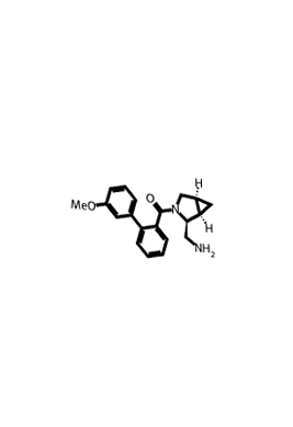 COc1cccc(-c2ccccc2C(=O)N2C[C@H]3C[C@H]3[C@H]2CN)c1